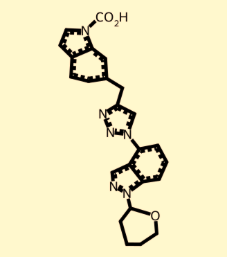 O=C(O)n1ccc2ccc(Cc3cn(-c4cccc5c4cnn5C4CCCCO4)nn3)cc21